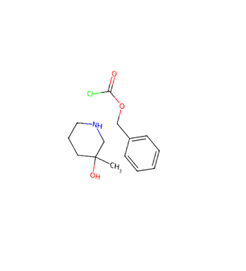 CC1(O)CCCNC1.O=C(Cl)OCc1ccccc1